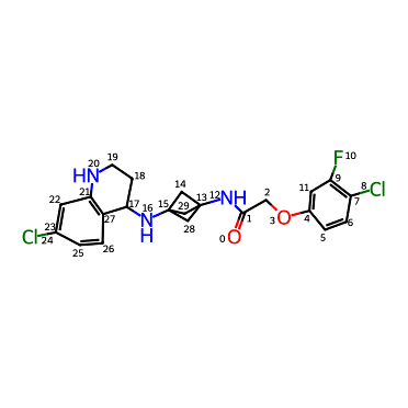 O=C(COc1ccc(Cl)c(F)c1)NC12CC(NC3CCNc4cc(Cl)ccc43)(C1)C2